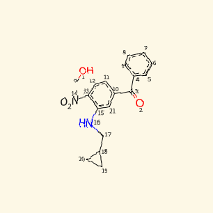 CO.O=C(c1ccccc1)c1ccc([N+](=O)[O-])c(NCC2CC2)c1